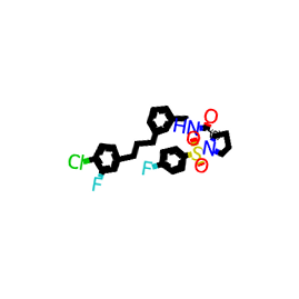 O=C(NCc1cccc(CCCc2ccc(Cl)c(F)c2)c1)[C@@H]1CCCN1S(=O)(=O)c1ccc(F)cc1